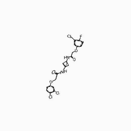 O=C(COc1ccc(F)c(Cl)c1)NC12CC(NC(=O)COc3ccc(Cl)c(Cl)c3)(C1)C2